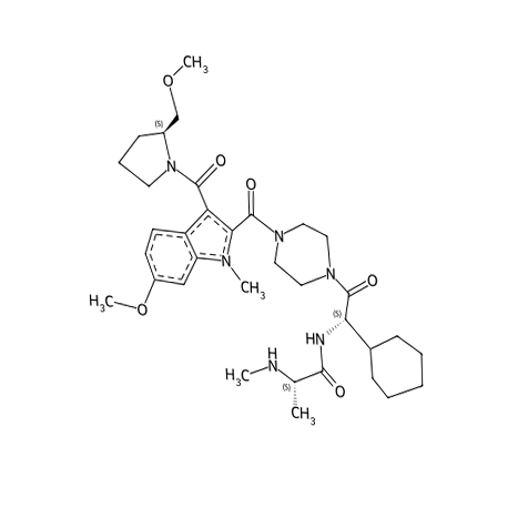 CN[C@@H](C)C(=O)N[C@H](C(=O)N1CCN(C(=O)c2c(C(=O)N3CCC[C@H]3COC)c3ccc(OC)cc3n2C)CC1)C1CCCCC1